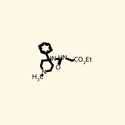 CCOC(=O)CNC(=O)NC1(c2ccccc2)CCN(C)CC1